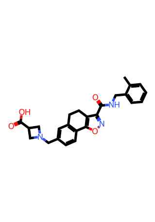 Cc1ccccc1CNC(=O)c1noc2c1CCc1cc(CN3CC(C(=O)O)C3)ccc1-2